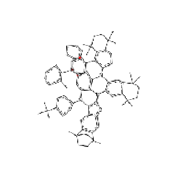 Cc1ccccc1N(c1ccccc1)c1cc2c3c(c1)N(c1ccc(C(C)(C)C)cc1)c1c(oc4cc5c(cc14)C1(C)CCC5(C)CC1)B3c1cc3c(cc1N2c1ccc2c(c1-c1ccccc1)C(C)(C)CCC2(C)C)C(C)(C)CCC3(C)C